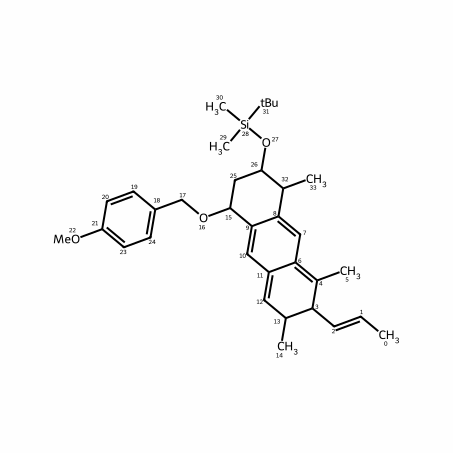 C/C=C/C1C(C)=c2cc3c(cc2=CC1C)C(OCc1ccc(OC)cc1)CC(O[Si](C)(C)C(C)(C)C)C3C